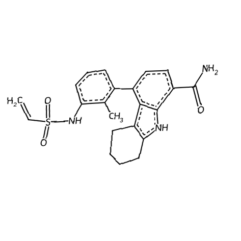 C=CS(=O)(=O)Nc1cccc(-c2ccc(C(N)=O)c3[nH]c4c(c23)CCCC4)c1C